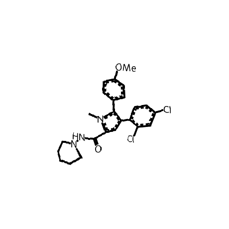 COc1ccc(-c2c(-c3ccc(Cl)cc3Cl)cc(C(=O)NN3CCCCC3)n2C)cc1